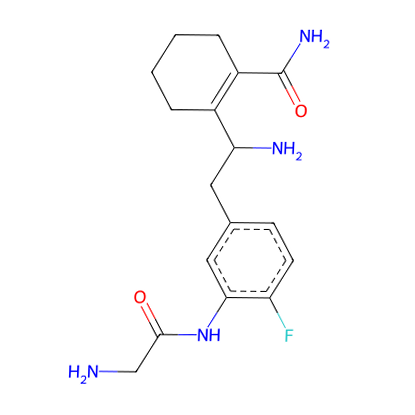 NCC(=O)Nc1cc(CC(N)C2=C(C(N)=O)CCCC2)ccc1F